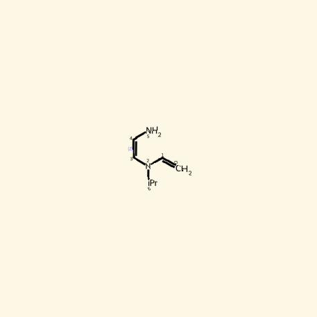 C=CN(/C=C\N)C(C)C